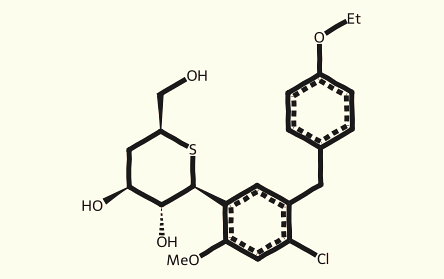 CCOc1ccc(Cc2cc([C@@H]3S[C@H](CO)C[C@H](O)[C@H]3O)c(OC)cc2Cl)cc1